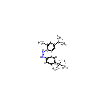 Cc1cc(C(C)C)ccc1/N=N\c1ccc(C(C)(C)C)cc1